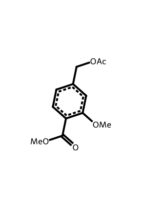 COC(=O)c1ccc(COC(C)=O)cc1OC